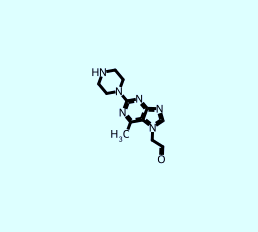 Cc1nc(N2CCNCC2)nc2ncn(CC=O)c12